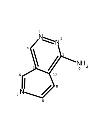 Nc1nncc2cnccc12